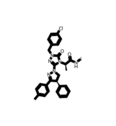 Cc1ccc(C2=NN(c3nn(Cc4ccc(Cl)cc4)c(=O)n3[C@H](C)C(=O)NI)C[C@H]2c2ccccc2)cc1